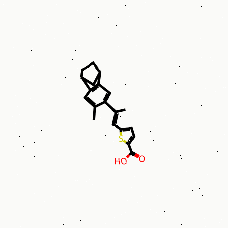 CC(=Cc1ccc(C(=O)O)s1)c1cc2c(cc1C)C1CCC2C1